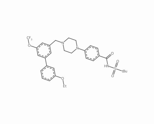 CCOc1cccc(-c2cc(CN3CCN(c4ccc(C(=O)NS(=O)(=O)C(C)(C)C)cc4)CC3)cc(OC(F)(F)F)c2)c1